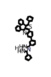 CN/C(=N\C(=N)c1ccccc1)c1cccc(-c2ccc3c(c2)nc(-c2ccccc2)c2c(-c4ccccc4)c(-c4ccccc4)sc23)c1